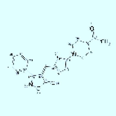 CC(=O)N1CCN(c2ccc(C=C3C(=O)ON=C3c3ccccc3)s2)CC1